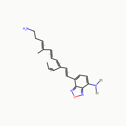 C\C=C/C(/C=C/c1ccc(N(CC)CC)c2nonc12)=C\C=C\C(C)=C\CCN